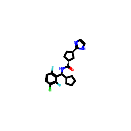 O=C(N[C@H](c1c(F)ccc(Cl)c1F)C1CCCC1)[C@@H]1CC[C@@H](c2ncc[nH]2)C1